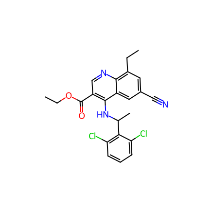 CCOC(=O)c1cnc2c(CC)cc(C#N)cc2c1NC(C)c1c(Cl)cccc1Cl